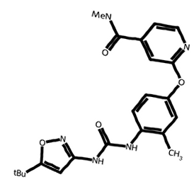 CNC(=O)c1ccnc(Oc2ccc(NC(=O)Nc3cc(C(C)(C)C)on3)c(C)c2)c1